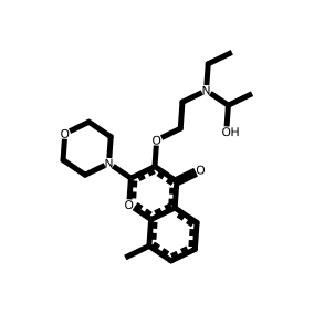 CCN(CCOc1c(N2CCOCC2)oc2c(C)cccc2c1=O)C(C)O